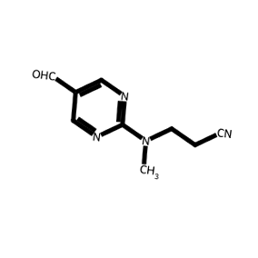 CN(CCC#N)c1ncc(C=O)cn1